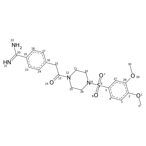 COc1ccc(S(=O)(=O)N2CCN(C(=O)Cc3ccc(C(=N)N)cc3)CC2)cc1OC